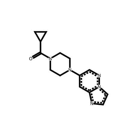 O=C(C1CC1)N1CCN(c2cnn3ccnc3c2)CC1